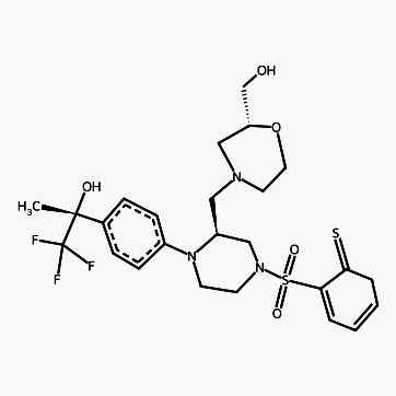 C[C@@](O)(c1ccc(N2CCN(S(=O)(=O)C3=CC=CCC3=S)C[C@@H]2CN2CCO[C@@H](CO)C2)cc1)C(F)(F)F